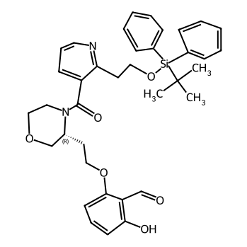 CC(C)(C)[Si](OCCc1ncccc1C(=O)N1CCOC[C@H]1CCOc1cccc(O)c1C=O)(c1ccccc1)c1ccccc1